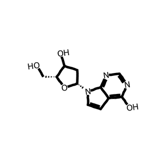 OC[C@H]1O[C@@H](n2ccc3c(O)ncnc32)CC1O